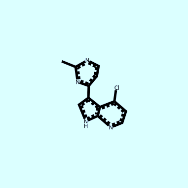 Cc1nccc(-c2c[nH]c3nccc(Cl)c23)n1